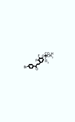 CC(C)(Oc1ccc(C=CC(=O)c2ccc(Br)cc2)c(F)c1F)C(=O)O